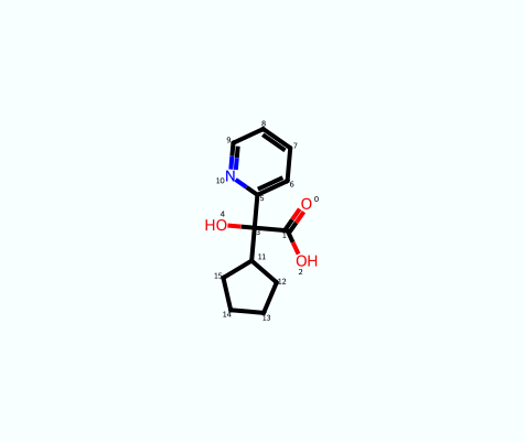 O=C(O)C(O)(c1ccccn1)C1CCCC1